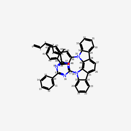 C=C/C=C\C=C(/C)c1nc(-c2ccccc2)nc(-n2c3ccccc3c3ccc4c5ccccc5n(-c5ccc6ccccc6c5)c4c32)n1